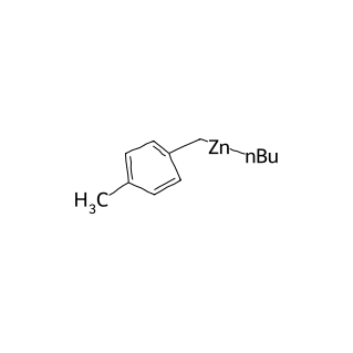 CCC[CH2][Zn][CH2]c1ccc(C)cc1